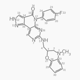 CN1CC(CNc2ncc3c4n[nH]cc4c(=O)n(-c4ccc(F)cc4)c3n2)Oc2ccccc21